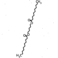 CCCCCCCCCCC(=O)OCCCCCOC(=O)CCCCCCCCCC